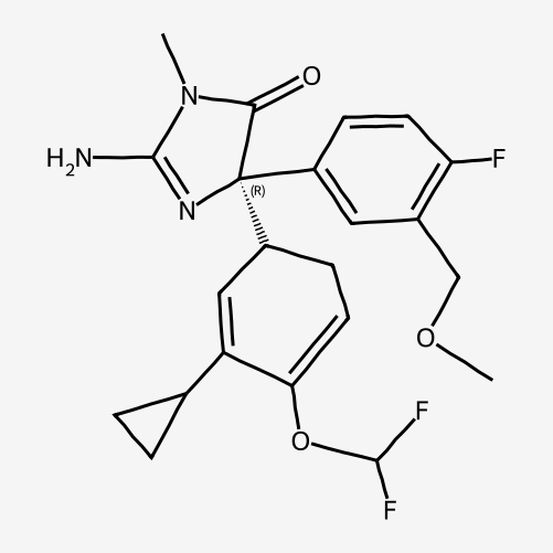 COCc1cc([C@@]2(C3C=C(C4CC4)C(OC(F)F)=CC3)N=C(N)N(C)C2=O)ccc1F